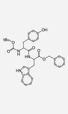 CC(C)(C)OC(=O)NC(Cc1ccc(O)cc1)C(=O)NC(Cc1c[nH]c2ccccc12)C(=O)OCc1ccccc1